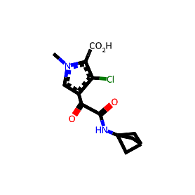 Cn1cc(C(=O)C(=O)NC23CC(C2)C3)c(Cl)c1C(=O)O